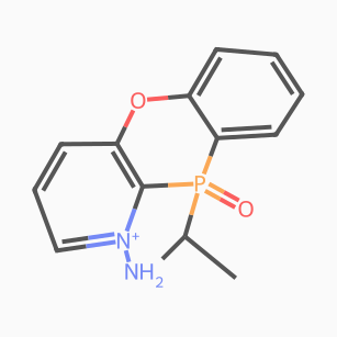 CC(C)P1(=O)c2ccccc2Oc2ccc[n+](N)c21